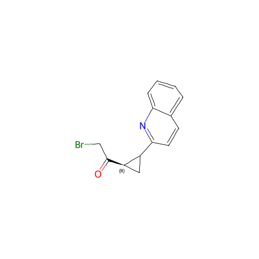 O=C(CBr)[C@@H]1CC1c1ccc2ccccc2n1